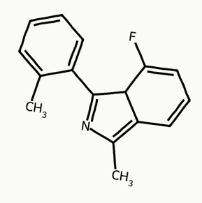 CC1=C2C=CC=C(F)C2C(c2ccccc2C)=N1